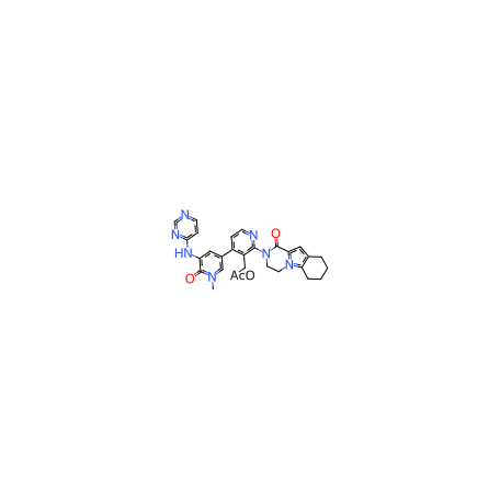 CC(=O)OCc1c(-c2cc(Nc3ccncn3)c(=O)n(C)c2)ccnc1N1CCn2c(cc3c2CCCC3)C1=O